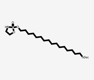 CCCCCCCCCCCCCCCCCCCCCCCCCCOP1(=O)NCCO1